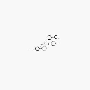 COc1ccc(C23CCCC(C2)C(CN(c2cc(-c4cnn(C(C)C)c4)ccn2)C(=O)[C@H]2CC[C@H](O)CC2)CC3)cc1C